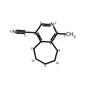 Cc1ncc(C#N)c2c1CCCCC2